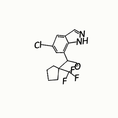 O=CC(c1cc(Cl)cc2cn[nH]c12)C1(C(F)(F)F)CCCC1